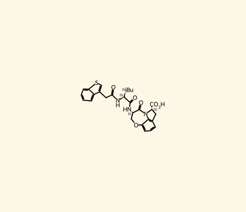 CC[C@H](C)[C@H](NC(=O)Cc1csc2ccccc12)C(=O)N[C@H]1COc2cccc3c2N(C1=O)[C@H](C(=O)O)C3